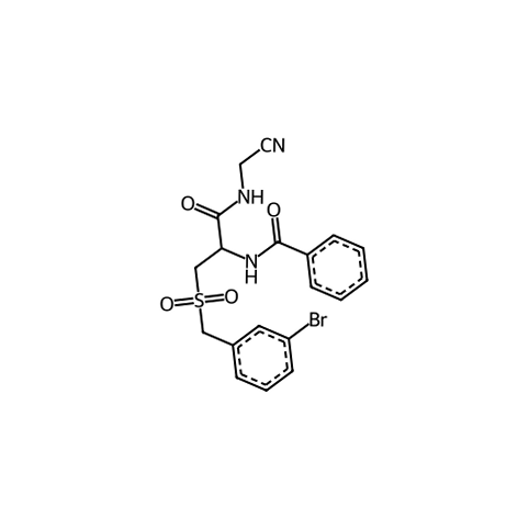 N#CCNC(=O)C(CS(=O)(=O)Cc1cccc(Br)c1)NC(=O)c1ccccc1